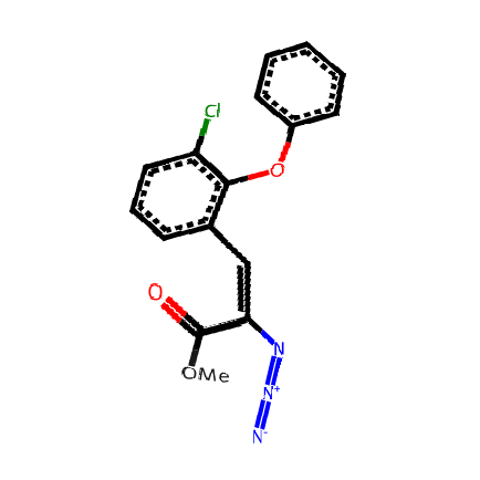 COC(=O)/C(=C\c1cccc(Cl)c1Oc1ccccc1)N=[N+]=[N-]